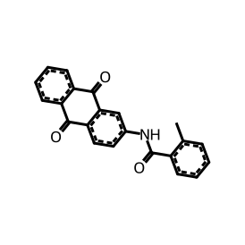 Cc1ccccc1C(=O)Nc1ccc2c(c1)C(=O)c1ccccc1C2=O